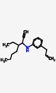 C#CC(Nc1cccc(CC=C)c1)C(CC)CCCC